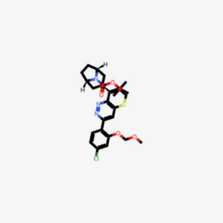 COCOc1cc(Cl)ccc1-c1cc2c(nn1)C([C@@H]1C[C@H]3CC[C@@H](C1)N3C(=O)OC(C)(C)C)=CCS2